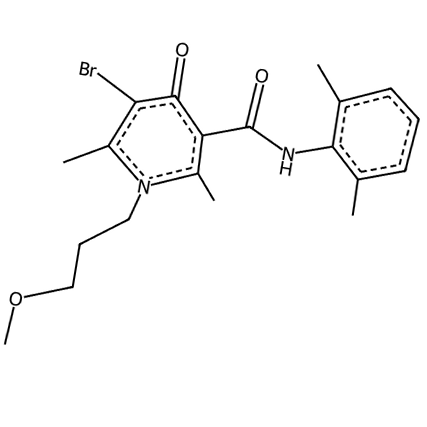 COCCCn1c(C)c(Br)c(=O)c(C(=O)Nc2c(C)cccc2C)c1C